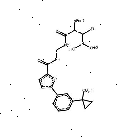 CCCCCC(C(=O)NCNC(=O)c1ccc(-c2cccc(C3(C(=O)O)CC3)c2)o1)C(CC)N(O)C=O